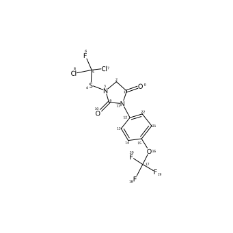 O=C1CN(SC(F)(Cl)Cl)C(=O)N1c1ccc(OC(F)(F)F)cc1